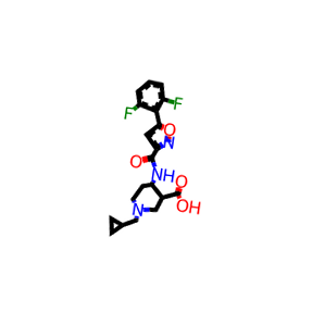 O=C(NC1CCN(CC2CC2)CC1C(=O)O)c1cc(-c2c(F)cccc2F)on1